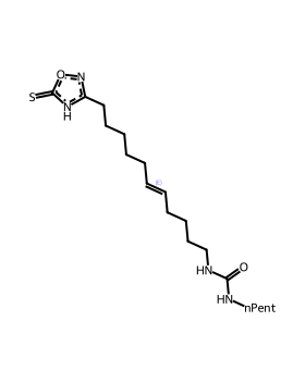 CCCCCNC(=O)NCCCC/C=C/CCCCCc1noc(=S)[nH]1